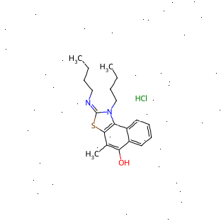 CCCCN=c1sc2c(C)c(O)c3ccccc3c2n1CCCC.Cl